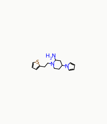 NC1CC(n2cccc2)CCN1CCc1cccs1